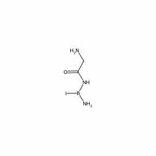 NCC(=O)NB(N)I